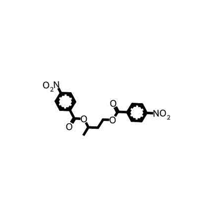 CC(CCOC(=O)c1ccc([N+](=O)[O-])cc1)OC(=O)c1ccc([N+](=O)[O-])cc1